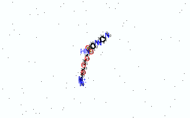 CN(C)c1ccc(/N=N/c2ccc(S(=O)(=O)NCCOCCOCCOCCN=[N+]=[N-])cc2)cc1